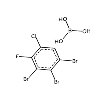 Fc1c(Cl)cc(Br)c(Br)c1Br.OB(O)O